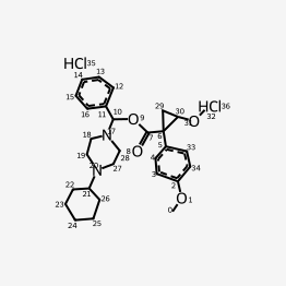 COc1ccc(C2(C(=O)OC(c3ccccc3)N3CCN(C4CCCCC4)CC3)CC2OC)cc1.Cl.Cl